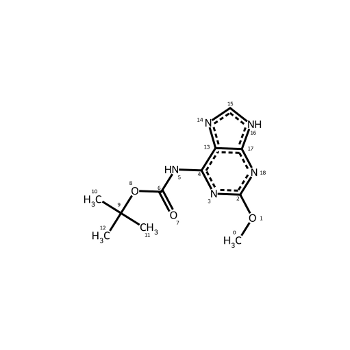 COc1nc(NC(=O)OC(C)(C)C)c2nc[nH]c2n1